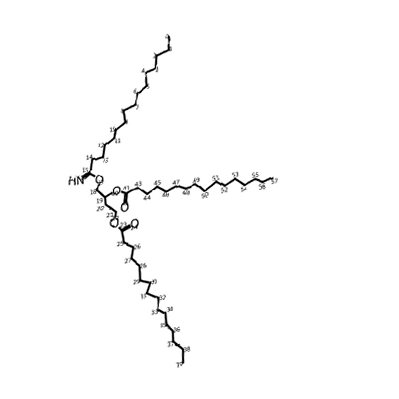 CCCCCCCCCCCCCCCC(=N)OCC(CCOC(=O)CCCCCCCCCCCCCCC)OC(=O)CCCCCCCCCCCCCCC